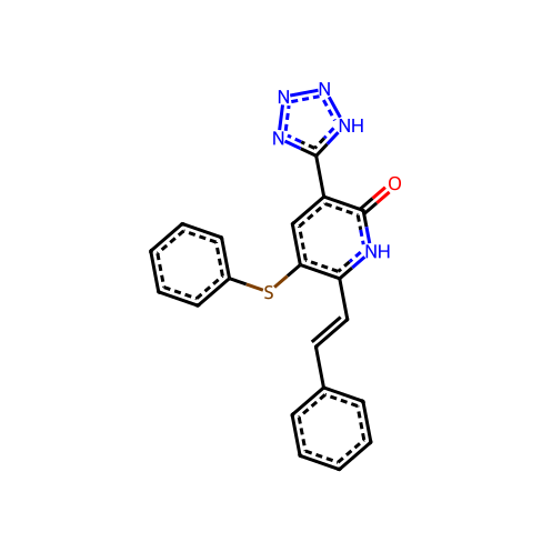 O=c1[nH]c(/C=C/c2ccccc2)c(Sc2ccccc2)cc1-c1nnn[nH]1